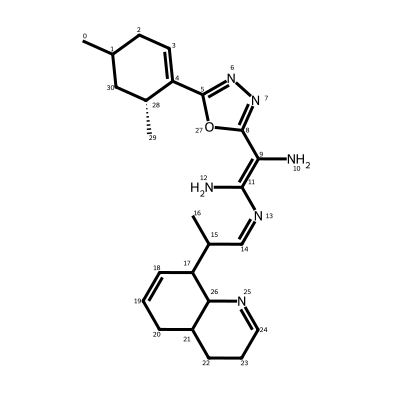 CC1CC=C(c2nnc(/C(N)=C(N)/N=C\C(C)C3C=CCC4CCC=NC43)o2)[C@H](C)C1